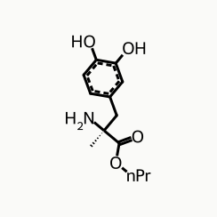 CCCOC(=O)[C@@](C)(N)Cc1ccc(O)c(O)c1